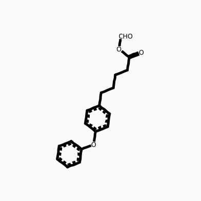 O=COC(=O)CCCCc1ccc(Oc2ccccc2)cc1